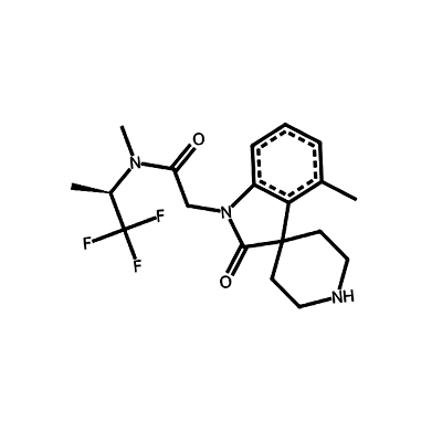 Cc1cccc2c1C1(CCNCC1)C(=O)N2CC(=O)N(C)[C@H](C)C(F)(F)F